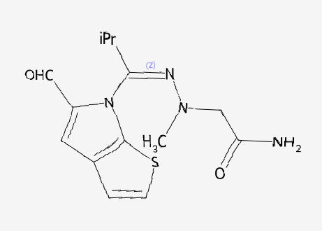 CC(C)/C(=N/N(C)CC(N)=O)n1c(C=O)cc2ccsc21